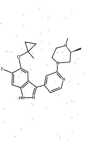 C[C@H]1CN(c2cc(-c3n[nH]c4cc(F)c(OC5(C)CC5)cc34)ccn2)CCN1C